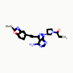 C=CC(=O)N1CC[C@H](n2nc(C#Cc3ccc4oc(NC)nc4c3)c3c(N)ncnc32)C1